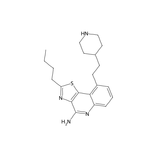 CCCCc1nc2c(N)nc3cccc(CCC4CCNCC4)c3c2s1